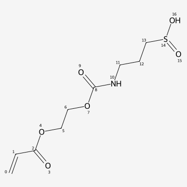 C=CC(=O)OCCOC(=O)NCCCS(=O)O